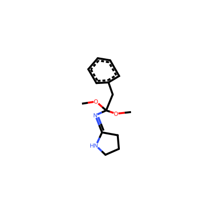 COC(Cc1ccccc1)(N=C1CCCN1)OC